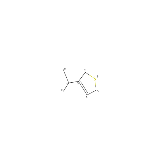 CC(C)C1=CCSC1